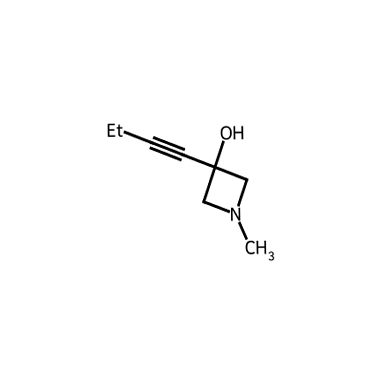 CCC#CC1(O)CN(C)C1